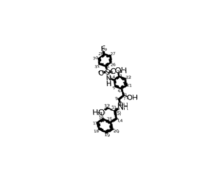 O=S(=O)(Nc1cc([C@@H](O)CN[C@H](CO)Cc2ccccc2)ccc1O)c1ccc(F)cc1